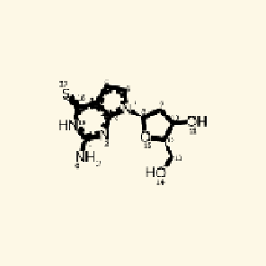 Nc1nc2c(ccn2[C@H]2CC(O)[C@@H](CO)O2)c(=S)[nH]1